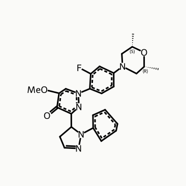 COc1cn(-c2ccc(N3C[C@@H](C)O[C@@H](C)C3)cc2F)nc(C2CC=NN2c2ccccc2)c1=O